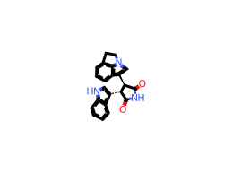 O=C1NC(=O)[C@H](c2cn3c4c(cccc24)CC3)[C@H]1c1c[nH]c2ccccc12